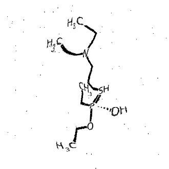 CCO[P@@](O)(CC)=[SH]CCN(CC)CC